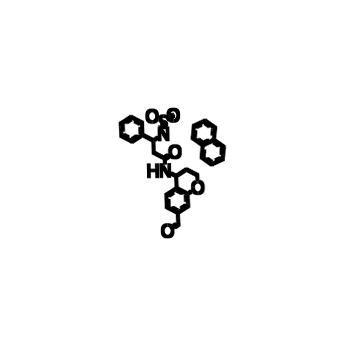 O=Cc1ccc2c(c1)OCCC2NC(=O)CC(N=S(=O)=O)c1ccccc1.c1ccc2ccccc2c1